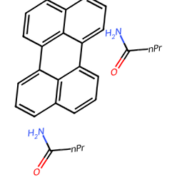 CCCC(N)=O.CCCC(N)=O.c1cc2cccc3c4cccc5cccc(c(c1)c23)c54